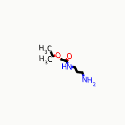 CC(C)OCC(=O)NCCCN